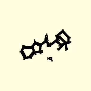 CC1(C)C(NC(=O)c2nc3ccccc3[nH]2)C2CCN1CC2.Cl